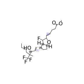 CCCCC(C)([C@H](O)/C=C/[C@H]1CC[C@@H]2OC(/C=C/CCC(=O)OC)C(F)[C@@H]21)C(F)(F)F